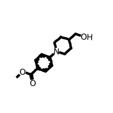 COC(=O)c1ccc(N2CCC(CO)CC2)cc1